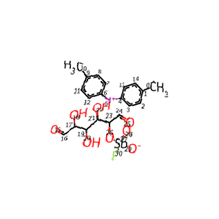 Cc1ccc([I+]c2ccc(C)cc2)cc1.O=CC(O)C(O)C(O)C(C=O)[O][Sb](=[O])([O-])[F]